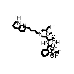 COC(CF)CN(CCCCc1ccc2c(n1)NCCC2)CCC(NC(=O)c1ccccc1S(=O)(=O)C(F)(F)F)C(=O)O